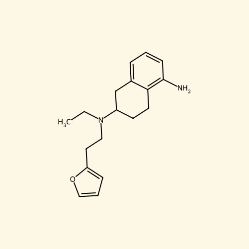 CCN(CCc1ccco1)C1CCc2c(N)cccc2C1